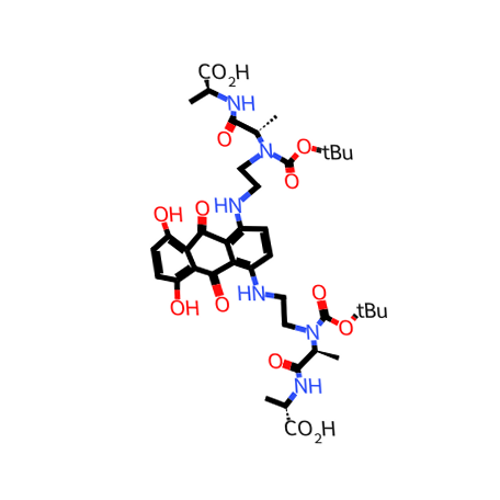 C[C@H](NC(=O)[C@H](C)N(CCNc1ccc(NCCN(C(=O)OC(C)(C)C)[C@@H](C)C(=O)N[C@@H](C)C(=O)O)c2c1C(=O)c1c(O)ccc(O)c1C2=O)C(=O)OC(C)(C)C)C(=O)O